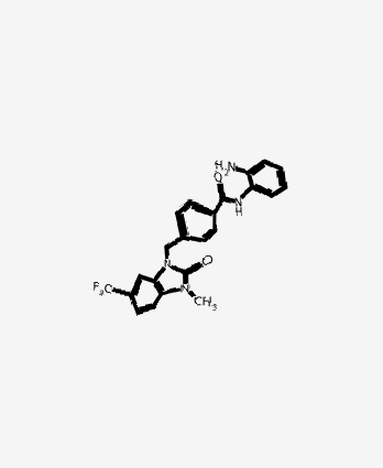 Cn1c(=O)n(Cc2ccc(C(=O)Nc3ccccc3N)cc2)c2cc(C(F)(F)F)ccc21